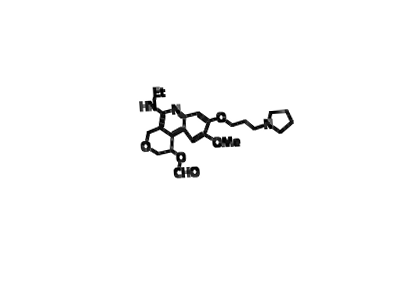 CCNc1nc2cc(OCCCN3CCCC3)c(OC)cc2c2c1COCC2OC=O